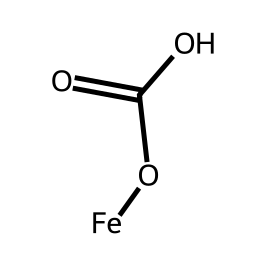 O=C(O)[O][Fe]